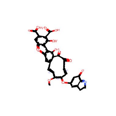 COC1=C(OC2=CC(=O)C3=NCCC3=C2)/C=C/C(=O)C(=O)c2c(cc3oc4cc(C(=O)O)c(C(=O)O)c(O)c4c3c2O)\C=C\1